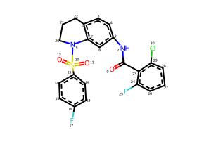 O=C(Nc1ccc2c(c1)N(S(=O)(=O)c1ccc(F)cc1)CCC2)c1c(F)cccc1Cl